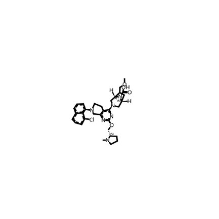 COCC1C[C@@H]2CN(c3nc(OC[C@@H]4CCCN4C)nc4c3CCN(c3cccc5cccc(Cl)c35)C4)C[C@H]1N2C(=O)O